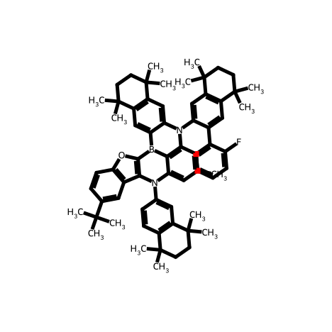 Cc1cc2c3c(c1)N(c1ccc4c(c1)C(C)(C)CCC4(C)C)c1c(oc4ccc(C(C)(C)C)cc14)B3c1cc3c(cc1N2c1cc2c(cc1-c1ccccc1F)C(C)(C)CCC2(C)C)C(C)(C)CCC3(C)C